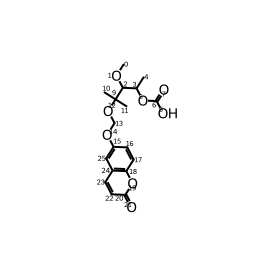 COC(C(C)OC(=O)O)C(C)(C)OCOc1ccc2oc(=O)ccc2c1